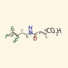 O=C(O)C=CC(=O)NCCC(F)=C(F)F